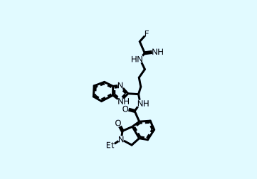 CCN1Cc2cccc(C(=O)NC(CCCNC(=N)CF)c3nc4ccccc4[nH]3)c2C1=O